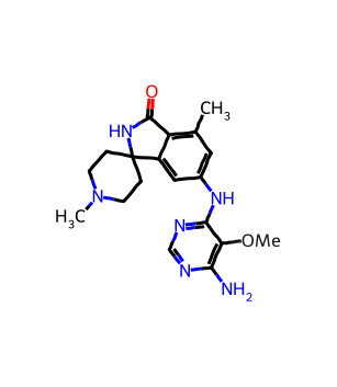 COc1c(N)ncnc1Nc1cc(C)c2c(c1)C1(CCN(C)CC1)NC2=O